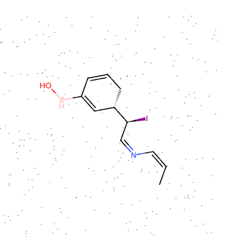 C/C=C\N=C/[C@H](I)[C@@H]1C=C(BO)C=CC1